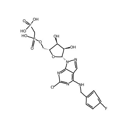 O=P(O)(O)CP(=O)(O)OC[C@H]1O[C@@H](n2ncc3c(NCc4ccc(F)cc4)nc(Cl)nc32)[C@H](O)[C@@H]1O